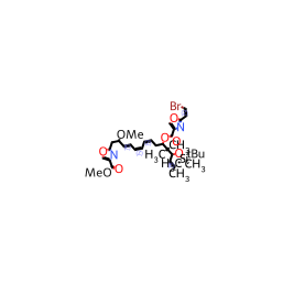 C/C=C/C(O[Si](C)(C)C(C)(C)C)C(C)(C)C(C\C=C/C=C\C=C\C(Cc1nc(C(=O)OC)co1)OC)OC(=O)c1coc(/C=C\Br)n1